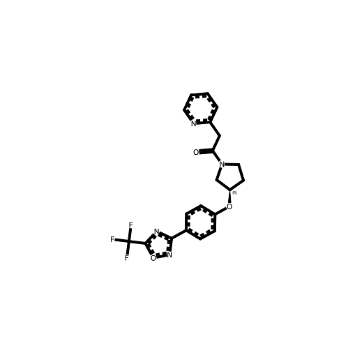 O=C(Cc1ccccn1)N1CC[C@@H](Oc2ccc(-c3noc(C(F)(F)F)n3)cc2)C1